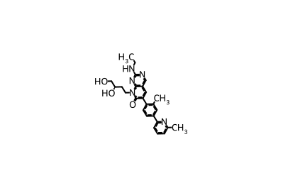 CCNc1ncc2cc(-c3ccc(-c4cccc(C)n4)cc3C)c(=O)n(CC[C@@H](O)CO)c2n1